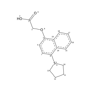 O=C(O)COc1ccc([S+]2CCCC2)c2ccccc12